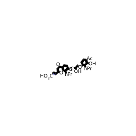 CCCc1c(OCC(O)COc2ccc3c(=O)cc(/C=C/C(=O)O)oc3c2CCC)ccc(C(C)=O)c1O